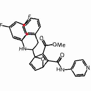 COC(=O)C1=C(C(=O)Nc2ccncc2)C2C=CC1(C(Cc1ccccc1)Nc1cc(F)cc(F)c1)O2